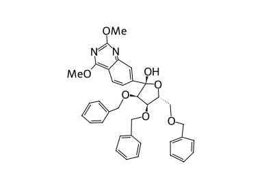 COc1nc(OC)c2ccc([C@]3(O)O[C@H](COCc4ccccc4)[C@@H](OCc4ccccc4)[C@H]3OCc3ccccc3)cc2n1